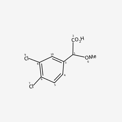 COC(C(=O)O)c1ccc(Cl)c(Cl)c1